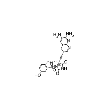 COc1ccc2c(c1)C(=O)N(C[C@@]1(C#CC3C=Nc4nc(N)c(N)cc4C3)NC(=O)NC1=O)C2